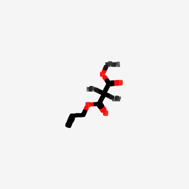 C=CCOC(=O)C(CCC)(CCC)C(=O)OCCCCC